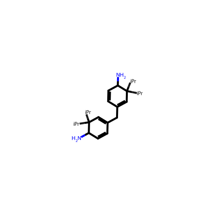 CC(C)C1(C(C)C)C=C(CC2=CC(C(C)C)(C(C)C)C(N)C=C2)C=CC1N